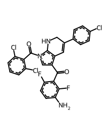 Nc1ccc(F)c(C(=O)c2cn(C(=O)c3c(Cl)cccc3Cl)c3c2C=C(c2ccc(Cl)cc2)CN3)c1F